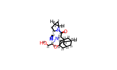 N#C[C@@H]1C[C@@H]2C[C@@H]2N1C(=O)[C@@H](N)C12CC3C[C@H](CC(OCCO)(C3)C1)C2